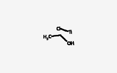 CCO.[Cl][Ti]